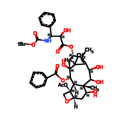 CC(=O)O[C@@]12CO[C@@H]1C[C@H](O)[C@@]1(C)C(O)[C@H](O)C3=C(C)[C@@H](OC(=O)[C@H](O)[C@@H](NC(=O)OC(C)(C)C)c4ccccc4)C[C@@](O)([C@@H](OC(=O)c4ccccc4)[C@H]21)C3(C)C